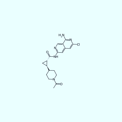 CC(=O)N1CCC([C@H]2C[C@@H]2C(=O)Nc2cc3cc(Cl)nc(N)c3cn2)CC1